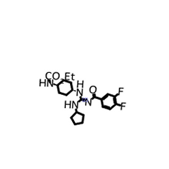 CCOC(=O)N[C@H]1CC[C@H](N/C(=N\C(=O)c2ccc(F)c(F)c2)NC2CCCC2)CC1